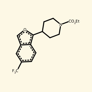 CCOC(=O)N1CCC(c2occ3cc(C(F)(F)F)ccc23)CC1